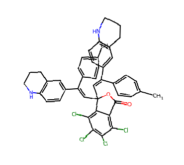 Cc1ccc(/C(=C\C2(/C=C(\c3ccc(C)cc3)c3ccc4c(c3)CCCN4)OC(=O)c3c(Cl)c(Cl)c(Cl)c(Cl)c32)c2ccc3c(c2)CCCN3)cc1